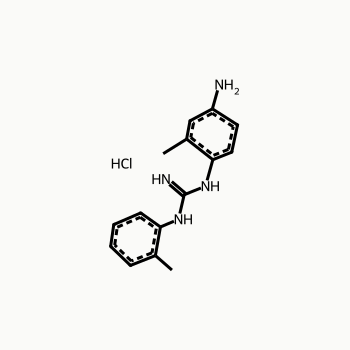 Cc1ccccc1NC(=N)Nc1ccc(N)cc1C.Cl